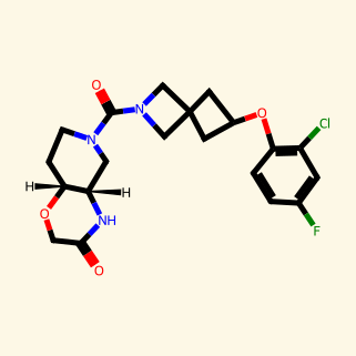 O=C1CO[C@@H]2CCN(C(=O)N3CC4(CC(Oc5ccc(F)cc5Cl)C4)C3)C[C@@H]2N1